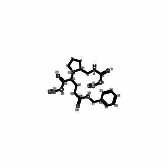 CC(C)(C)OC(=O)NCC1CCCN1C(CCC(=O)OCc1ccccc1)C(=O)OC(C)(C)C